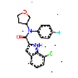 O=C(c1cc2cccc(Cl)c2[nH]1)N(c1ccc(F)cc1)C1CCOC1